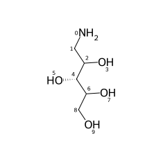 NCC(O)[C@@H](O)C(O)CO